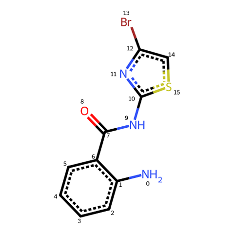 Nc1ccccc1C(=O)Nc1nc(Br)cs1